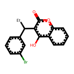 CCC(c1cccc(Br)c1)c1c(O)c2ccccc2oc1=O